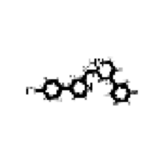 Clc1ccc(-c2ccnc(CC3CC(c4ccccc4)=CCN3)c2)cc1